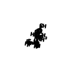 C#Cc1ccc(C2(C)C(=O)Nc3nc(-c4cn5ncnc5c(CCC(F)(F)C(F)(F)F)n4)[nH]c(=O)c32)nc1